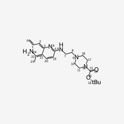 C=C/C=c1/nc(NCCN2CCN(C(=O)OC(C)(C)C)CC2)cc/c1=C(\C)N